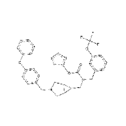 O=C(Oc1cscn1)N(Cc1cccc(OC(F)(F)F)c1)CC1C2CN(Cc3ccc(Oc4ccccc4)cc3)CC21